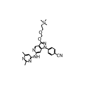 Cc1cc(Nc2cc3c(cn2)c(OCOCC[Si](C)(C)C)nn3-c2ccc(C#N)cc2)nc(C)n1